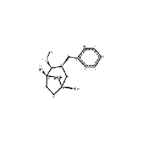 CO[C@H]1[C@@H](Cc2ccccc2)C[C@@H]2CC[C@H]1N2